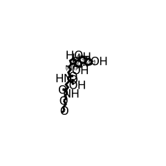 COCCOCCNC(=O)CCC(NC(=O)CC[C@@H](C)C1CC[C@H]2C3C(C[C@H](O)[C@]12C)[C@@]1(C)CC[C@@H](O)C[C@H]1C[C@H]3O)C(=O)O